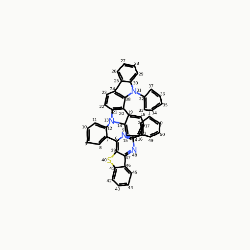 c1ccc(-c2nc(-c3ccccc3-n3c4ccccc4c4c3ccc3c5ccccc5n(-c5ccccc5)c34)c3sc4ccccc4c3n2)cc1